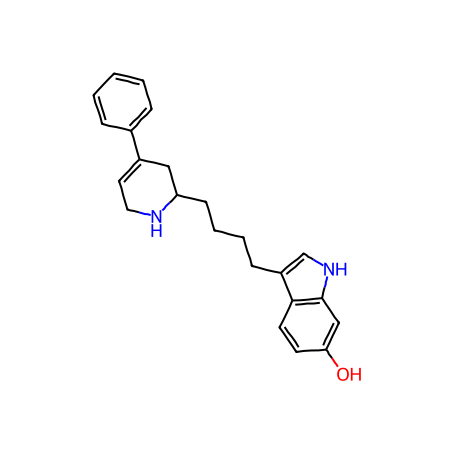 Oc1ccc2c(CCCCC3CC(c4ccccc4)=CCN3)c[nH]c2c1